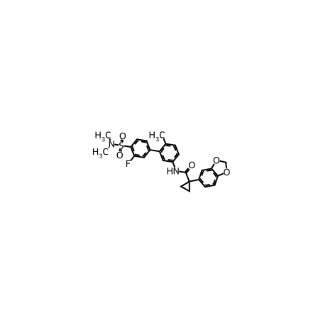 Cc1ccc(NC(=O)C2(c3ccc4c(c3)OCO4)CC2)cc1-c1ccc(S(=O)(=O)N(C)C)c(F)c1